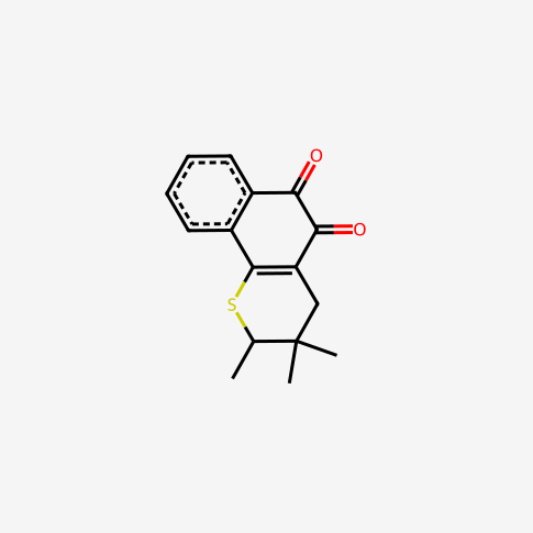 CC1SC2=C(CC1(C)C)C(=O)C(=O)c1ccccc12